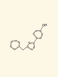 Oc1ccc(-c2ccc(Cc3ccccc3)s2)cc1